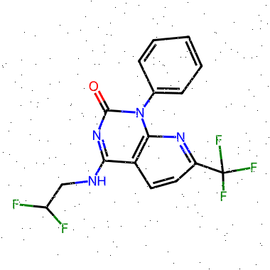 O=c1nc(NCC(F)F)c2ccc(C(F)(F)F)nc2n1-c1ccccc1